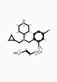 Fc1ccc(CN(CC2CC2)C2CCNCC2)c(C(F)(F)F)c1.O=C(O)/C=C/C(=O)O